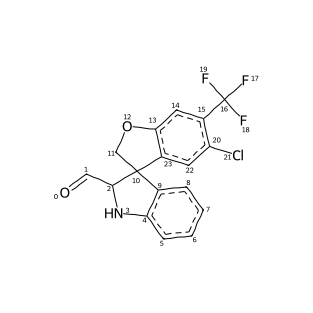 O=CC1Nc2ccccc2C12COc1cc(C(F)(F)F)c(Cl)cc12